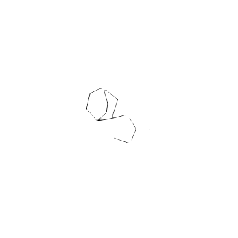 C[C@H]1O[C@]2(CS1)CN1CCC2CC1.Cl.O